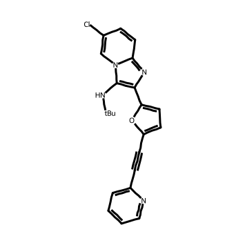 CC(C)(C)Nc1c(-c2ccc(C#Cc3ccccn3)o2)nc2ccc(Cl)cn12